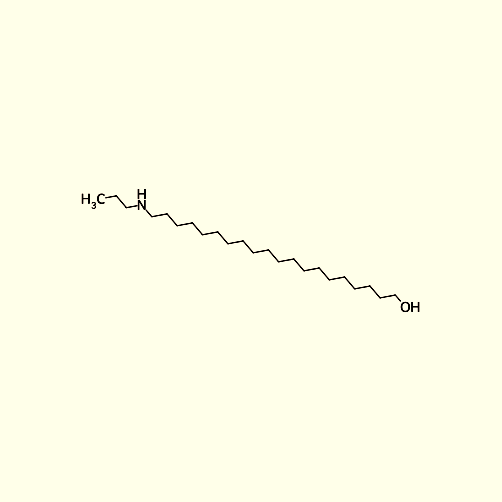 CCCNCCCCCCCCCCCCCCCCCCCCO